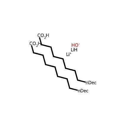 CCCCCCCCCCCCCCCCCC(=O)O.CCCCCCCCCCCCCCCCCC(=O)O.[Li+].[LiH].[OH-]